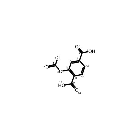 O=C(Cl)Oc1cc(C(=O)O)ccc1C(=O)O